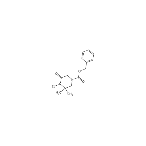 CCN1C(=O)CN(C(=O)OCc2ccccc2)CC1(C)C